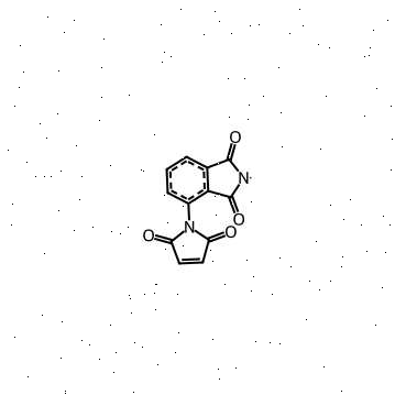 O=C1[N]C(=O)c2c1cccc2N1C(=O)C=CC1=O